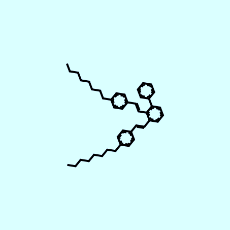 CCCCCCCCc1ccc(C=Cc2cccc(-c3ccccc3)c2C=Cc2ccc(CCCCCCCC)cc2)cc1